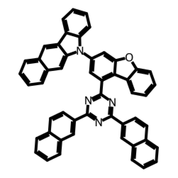 c1ccc2cc(-c3nc(-c4ccc5ccccc5c4)nc(-c4cc(-n5c6ccccc6c6cc7ccccc7cc65)cc5oc6ccccc6c45)n3)ccc2c1